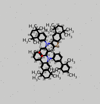 Cc1cc(C)c(-c2ccc3c(c2)N(c2cc4c(cc2-c2ccccc2)C(C)(C)CCC4(C)C)c2cc(C)cc4c2B3c2sc3cc5c(cc3c2N4c2ccc3c(c2)C(C)(C)CCC3(C)C)C(C)(C)CCC5(C)C)c(C)c1